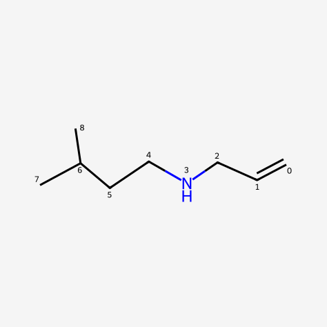 C=CCNCCC(C)C